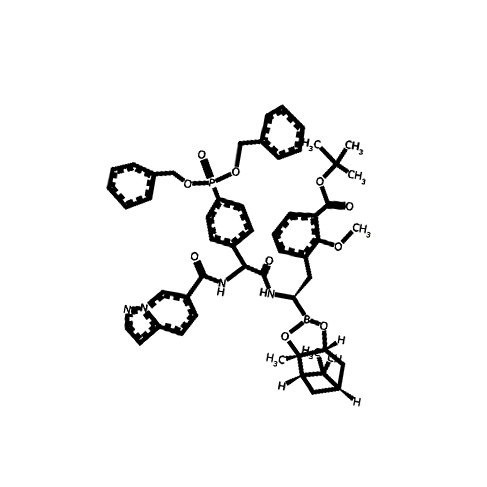 COc1c(C[C@H](NC(=O)C(NC(=O)c2ccc3ccnn3c2)c2ccc(P(=O)(OCc3ccccc3)OCc3ccccc3)cc2)B2O[C@@H]3C[C@@H]4C[C@@H](C4(C)C)[C@]3(C)O2)cccc1C(=O)OC(C)(C)C